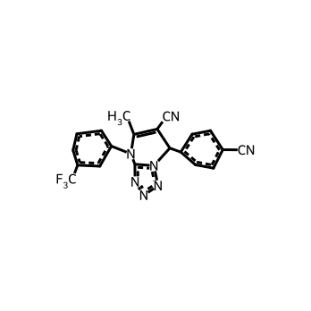 CC1=C(C#N)C(c2ccc(C#N)cc2)n2nnnc2N1c1cccc(C(F)(F)F)c1